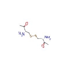 CC(=O)[C@@H](N)CSSC[C@H](N)C(C)=O